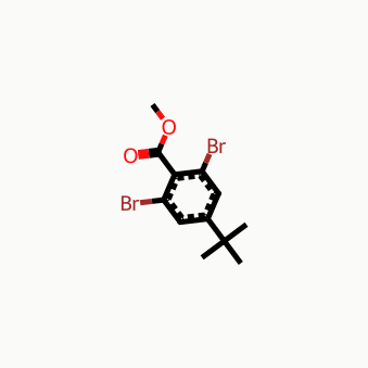 COC(=O)c1c(Br)cc(C(C)(C)C)cc1Br